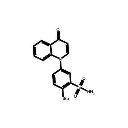 CC(C)(C)c1ccc(-n2ccc(=O)c3ccccc32)cc1S(N)(=O)=O